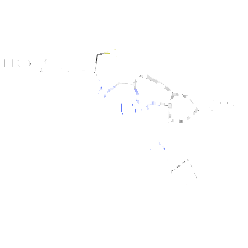 Cc1cc(NC2CCOC2)c2[nH]c(C3=NC(CC(=O)O)CS3)cc2c1